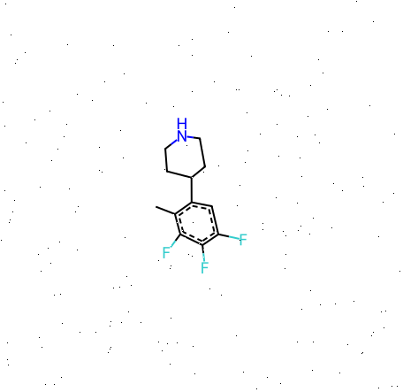 Cc1c(C2CCNCC2)cc(F)c(F)c1F